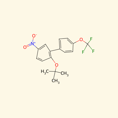 CC(C)(C)Oc1ccc([N+](=O)[O-])cc1-c1ccc(OC(F)(F)F)cc1